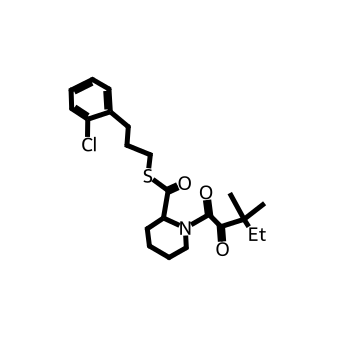 CCC(C)(C)C(=O)C(=O)N1CCCCC1C(=O)SCCCc1ccccc1Cl